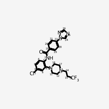 O=C(Nc1ccc(Cl)cc1N1CCN(CCC(F)(F)F)CC1)c1ccc(-n2cncn2)cc1